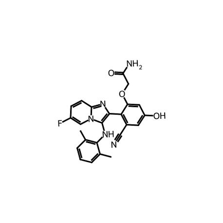 Cc1cccc(C)c1Nc1c(-c2c(C#N)cc(O)cc2OCC(N)=O)nc2ccc(F)cn12